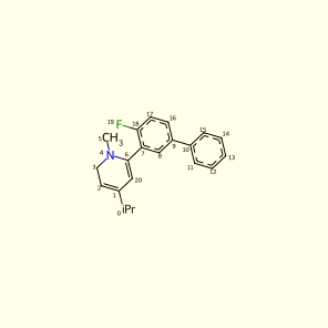 CC(C)C1=CCN(C)C(c2cc(-c3ccccc3)ccc2F)=C1